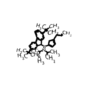 C=CCC1=CC=C(B(C2c3cc(C(C)(C)C)ccc3-c3ccc(C(C)(C)C)cc32)N(C(C)C)C(C)C)C1